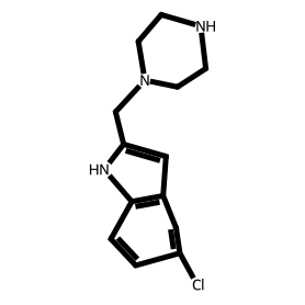 Clc1ccc2[nH]c(CN3CCNCC3)cc2c1